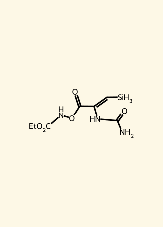 CCOC(=O)NOC(=O)C(=C[SiH3])NC(N)=O